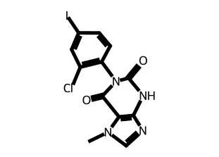 Cn1cnc2[nH]c(=O)n(-c3ccc(I)cc3Cl)c(=O)c21